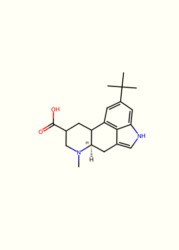 CN1CC(C(=O)O)CC2c3cc(C(C)(C)C)cc4[nH]cc(c34)C[C@H]21